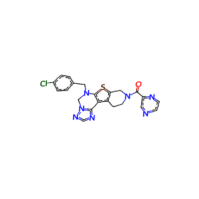 O=C(c1cnccn1)N1CCc2c(sc3c2-c2ncnn2CN3Cc2ccc(Cl)cc2)C1